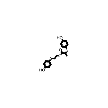 CC(Sc1ccc(O)cc1)C(=O)OCCSc1ccc(O)cc1